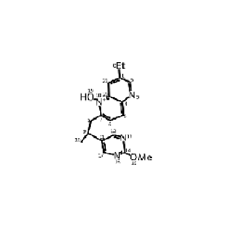 CCc1cnc2ccc(CC(C)c3cnc(OC)nc3)[n+](O)c2c1